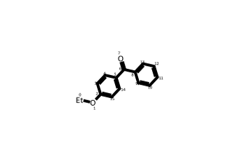 CCOc1ccc(C(=O)c2[c]cccc2)cc1